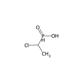 CC(Cl)[PH](=O)O